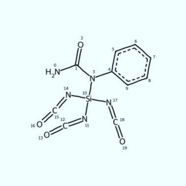 NC(=O)N(c1ccccc1)[Si](N=C=O)(N=C=O)N=C=O